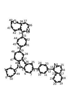 c1ccc(-n2c3ccc(-c4ccc(-c5nccc6ccccc56)cc4)cc3c3cc(-c4ccc(-c5nccc6ccccc56)cc4)ccc32)cc1